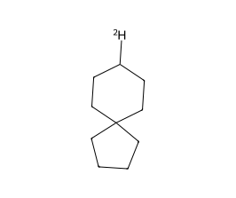 [2H]C1CCC2(CCCC2)CC1